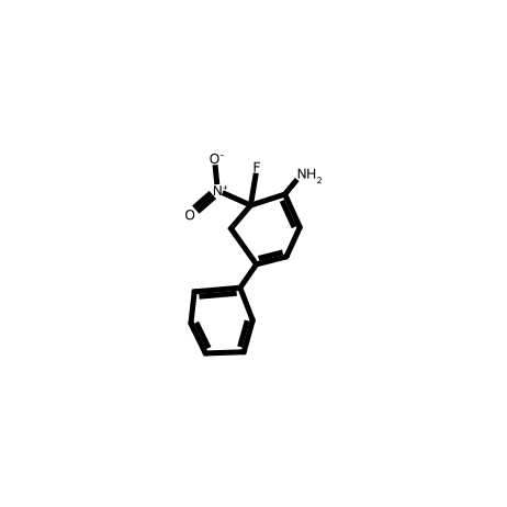 NC1=CC=C(c2ccccc2)CC1(F)[N+](=O)[O-]